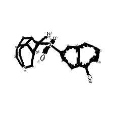 NC1(S(=O)(=O)c2ccc3c(Cl)cccc3c2)C2CC3CC1CN(C3)C2